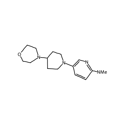 CNc1ccc(N2CCC(N3CCOCC3)CC2)cn1